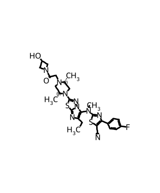 CCc1nc2sc(N3C[C@@H](C)N(CC(=O)N4CC(O)C4)C[C@H]3C)nn2c1N(C)c1nc(-c2ccc(F)cc2)c(C#N)s1